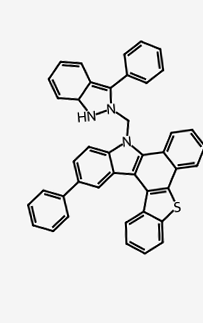 C1=CC2=C(c3ccccc3)N(Cn3c4ccc(-c5ccccc5)cc4c4c5c6ccccc6sc5c5ccccc5c43)NC2C=C1